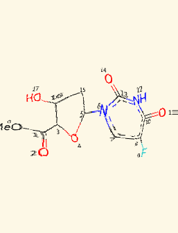 COC(=O)C1OC(n2cc(F)c(=O)[nH]c2=O)CC1O